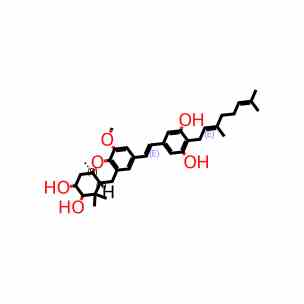 COc1cc(/C=C/c2cc(O)c(C/C=C(\C)CCC=C(C)C)c(O)c2)cc2c1O[C@]1(C)CC(O)C(O)C(C)(C)[C@H]1C2